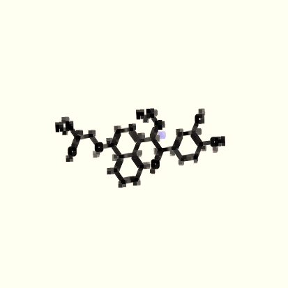 N/N=C(/C(=O)c1ccc(O)c(Cl)c1)c1ccc(OCC(N)=O)c2ccccc12